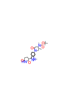 C[C@H]1CN(c2ccc3c(C4CCC(=O)NC4=O)nn(C)c3c2)C(=O)C[C@H]1N(C)C(=O)OC(C)(C)C